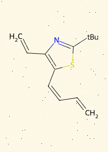 C=C/C=C\c1sc(C(C)(C)C)nc1C=C